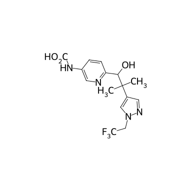 CC(C)(c1cnn(CC(F)(F)F)c1)C(O)c1ccc(NC(=O)O)cn1